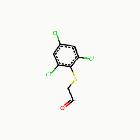 O=[C]CSc1c(Cl)cc(Cl)cc1Cl